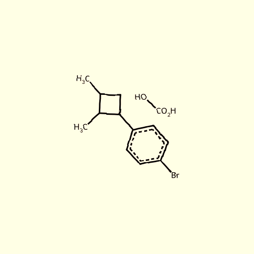 CC1CC(c2ccc(Br)cc2)C1C.O=C(O)O